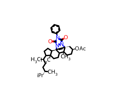 CC(=O)O[C@H]1CC[C@]2(C)C3CC[C@]4(C)C([C@H](C)CC[C@H](C)C(C)C)CCC4[C@@]34C=C[C@@]2(C1)n1c(=O)n(-c2ccccc2)c(=O)n14